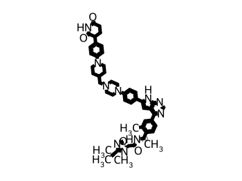 Cc1cc(-c2ncnc3[nH]c(-c4ccc(N5CCN(CC6CCN(c7ccc(C8CCC(=O)NC8=O)cc7)CC6)CC5)cc4)cc23)ccc1[C@@H](C)NC(=O)c1nc(C(C)(C)C)no1